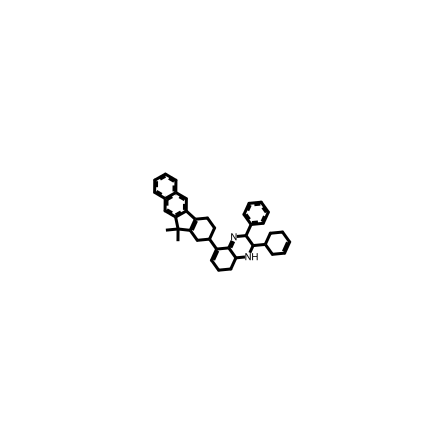 CC1(C)C2=C(CCC(C3=CCCC4NC(C5CC=CCC5)C(c5ccccc5)N=C34)C2)c2cc3ccccc3cc21